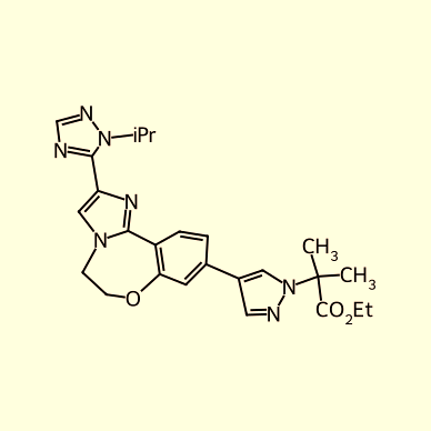 CCOC(=O)C(C)(C)n1cc(-c2ccc3c(c2)OCCn2cc(-c4ncnn4C(C)C)nc2-3)cn1